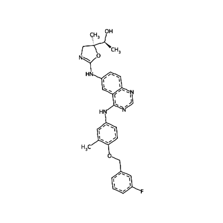 Cc1cc(Nc2ncnc3ccc(NC4=NC[C@@](C)([C@H](C)O)O4)cc23)ccc1OCc1cccc(F)c1